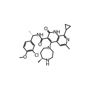 COc1ccc([C@H](C)NC(=O)c2c(N3CCN[C@@H](C)CC3)c3cc(C)nc(C4CC4)c3[nH]c2=O)cc1Cl